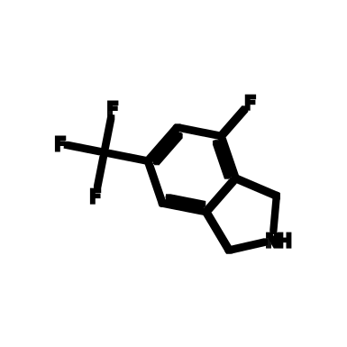 Fc1cc(C(F)(F)F)cc2c1CNC2